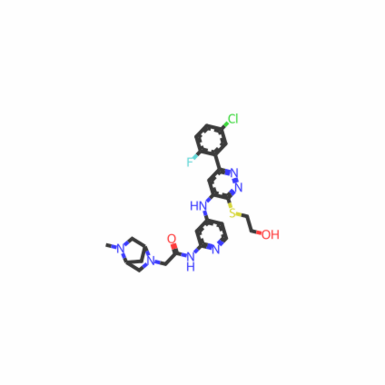 CN1CC2CC1CN2CC(=O)Nc1cc(Nc2cc(-c3cc(Cl)ccc3F)nnc2SCCO)ccn1